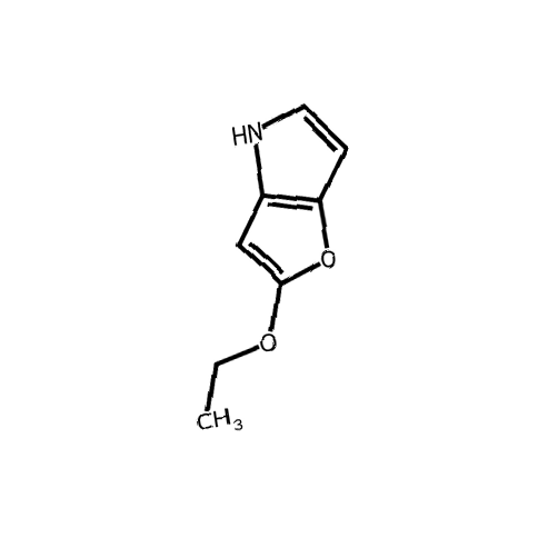 CCOc1cc2[nH]ccc2o1